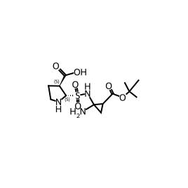 CC(C)(C)OC(=O)C1CC1(N)NS(=O)(=O)[C@@H]1NCC[C@H]1C(=O)O